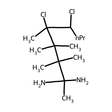 CCCC(Cl)C(C)(Cl)C(C)(C)C(C)(C)C(C)(N)N